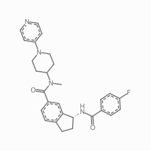 CN(C(=O)c1ccc2c(c1)[C@H](NC(=O)c1ccc(F)cc1)CC2)C1CCN(c2ccncc2)CC1